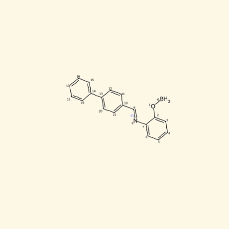 BOc1ccccc1/N=C/c1ccc(-c2ccccc2)cc1